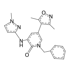 Cc1noc(C)c1-c1cc(Nc2ccn(C)n2)c(=O)n(Cc2ccccc2)c1